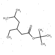 CCC(CC(=O)OC(C)(C)C)CC(C)C